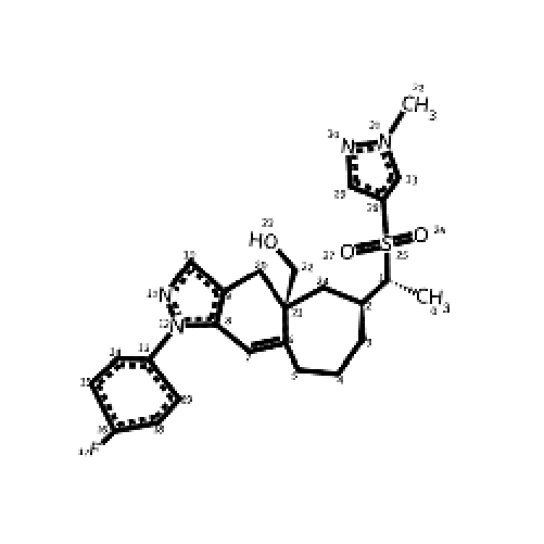 C[C@H]([C@H]1CCCC2=Cc3c(cnn3-c3ccc(F)cc3)C[C@]2(CO)C1)S(=O)(=O)c1cnn(C)c1